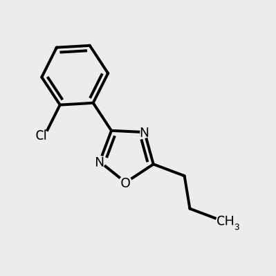 CCCc1nc(-c2ccccc2Cl)no1